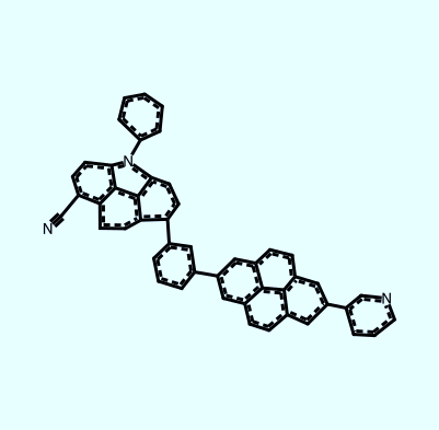 N#Cc1ccc2c3c1ccc1c(-c4cccc(-c5cc6ccc7cc(-c8cccnc8)cc8ccc(c5)c6c78)c4)ccc(c13)n2-c1ccccc1